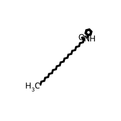 CCCCCCCCCCCCCCCCCCCCCCCCC(=O)Nc1ccccc1